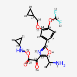 CC(N)c1oc(-c2ccc(OC(F)F)c(OCC3CC3)c2)nc1C(=O)C(=O)ONC1CC1